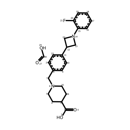 O=C(O)C1CCN(Cc2ccc(C3CN(c4ccccc4F)C3)cc2)CC1.O=CO